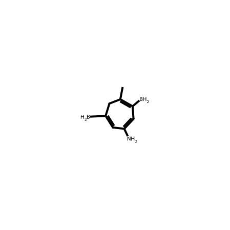 BC1=CC(N)=CC(B)=C(C)C1